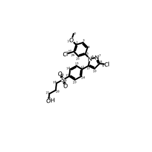 COc1ccc(-n2nc(Cl)cc2-c2ccc(S(=O)(=O)CCCO)cc2)cc1Cl